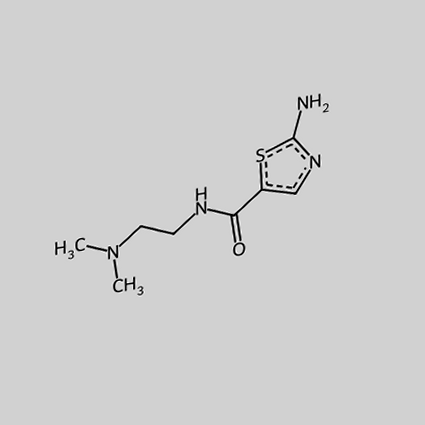 CN(C)CCNC(=O)c1cnc(N)s1